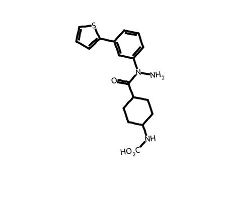 NN(C(=O)C1CCC(NC(=O)O)CC1)c1cccc(-c2cccs2)c1